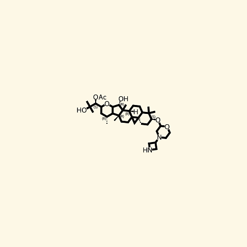 CC(=O)O[C@@H](C1C[C@@H](C)C2C(O1)[C@H](O)C1(C)[C@@H]3CCC4C(C)(C)[C@@H](OC5CN(C6CNC6)CCO5)CC[C@@]45CC35CC[C@]21C)C(C)(C)O